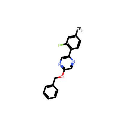 Fc1cc(C(F)(F)F)ccc1-c1cnc(OCc2ccccc2)cn1